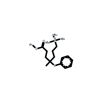 CCCC[PH](CCCC)(CCCC)CCCC(C)(CCC(=O)OC(C)C)Sc1ccccc1